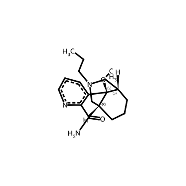 CCCN1C[C@H]2CCC[C@@H](C1)[C@@]2(OC)c1cccnc1C(N)=O